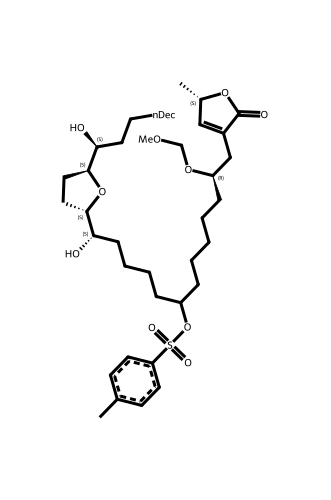 CCCCCCCCCCCC[C@H](O)[C@@H]1CC[C@@H]([C@@H](O)CCCCC(CCCCC[C@H](CC2=C[C@H](C)OC2=O)OCOC)OS(=O)(=O)c2ccc(C)cc2)O1